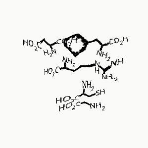 N=C(N)NCCCC(N)C(=O)O.NC(CC(=O)O)C(=O)O.NC(CS)C(=O)O.NC(Cc1ccccc1)C(=O)O.NCC(=O)O